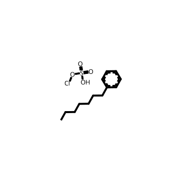 CCCCCCCc1ccccc1.O=S(=O)(O)OCl